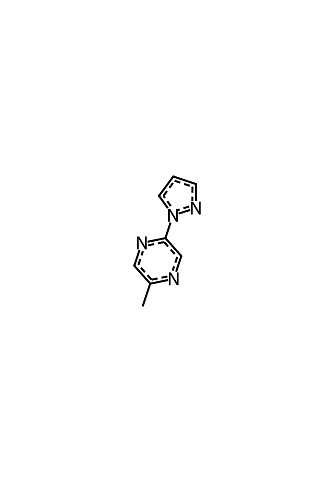 Cc1cnc(-n2cccn2)cn1